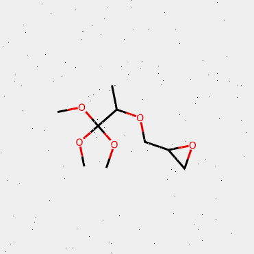 [CH2]C(OCC1CO1)C(OC)(OC)OC